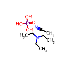 CC#N.CCN(CC)CC.O=P(O)(O)O